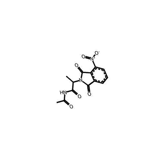 CC(=O)NC(=O)C(C)N1C(=O)c2cccc([N+](=O)[O-])c2C1=O